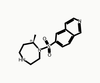 C[C@@H]1CCNCCN1S(=O)(=O)c1ccc2cnccc2c1